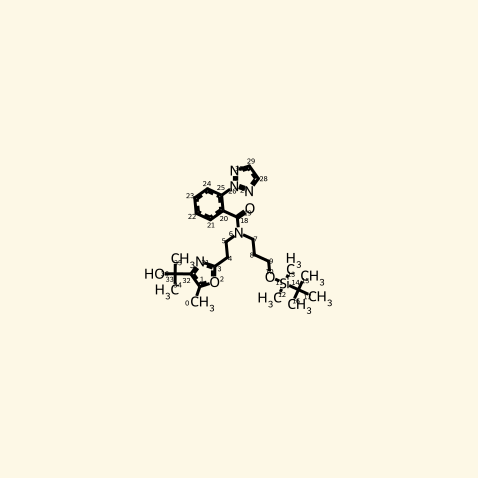 Cc1oc(CCN(CCCO[Si](C)(C)C(C)(C)C)C(=O)c2ccccc2-n2nccn2)nc1C(C)(C)O